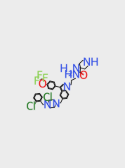 NC1(C(=O)NCCCn2cc(-c3ccc(OC(F)(F)F)cc3)c3cc(CN4CCN(Cc5c(Cl)cccc5Cl)CC4)ccc32)CCNCC1